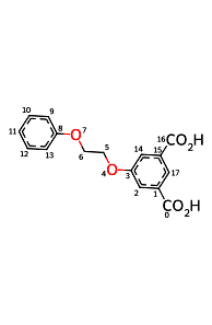 O=C(O)c1cc(OCCOc2ccccc2)cc(C(=O)O)c1